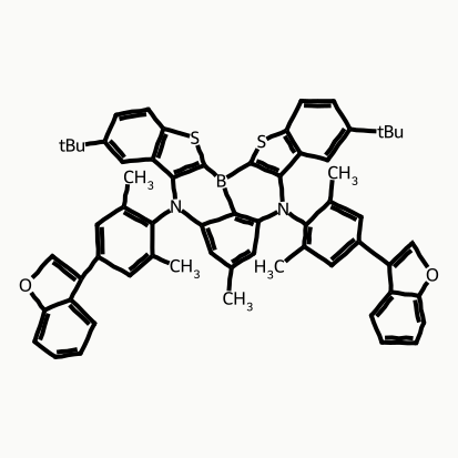 Cc1cc2c3c(c1)N(c1c(C)cc(-c4coc5ccccc45)cc1C)c1c(sc4ccc(C(C)(C)C)cc14)B3c1sc3ccc(C(C)(C)C)cc3c1N2c1c(C)cc(-c2coc3ccccc23)cc1C